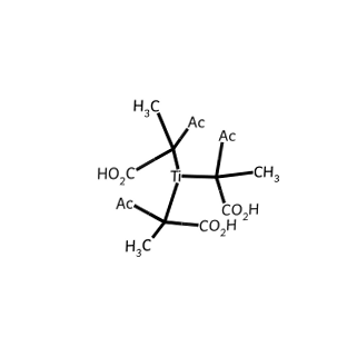 CC(=O)[C](C)(C(=O)O)[Ti]([C](C)(C(C)=O)C(=O)O)[C](C)(C(C)=O)C(=O)O